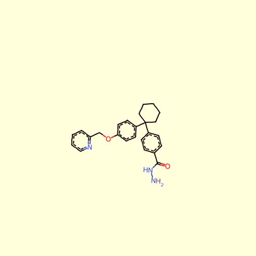 NNC(=O)c1ccc(C2(c3ccc(OCc4ccccn4)cc3)CCCCC2)cc1